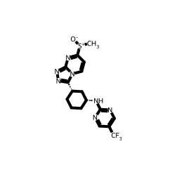 C[S+]([O-])c1ccn2c([C@H]3CCC[C@@H](Nc4ncc(C(F)(F)F)cn4)C3)nnc2n1